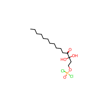 CCCCCCCCCCCC(=O)C(O)(O)CCOP(=O)(Cl)Cl